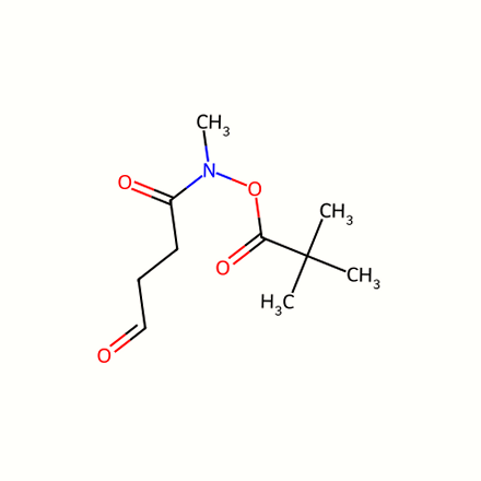 CN(OC(=O)C(C)(C)C)C(=O)CCC=O